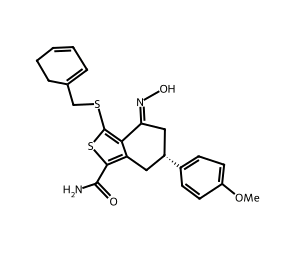 COc1ccc([C@H]2C/C(=N\O)c3c(SCC4=CC=CCC4)sc(C(N)=O)c3C2)cc1